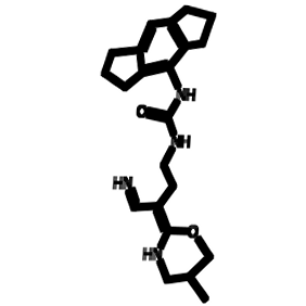 CC1CN/C(=C(\C=N)CCNC(=O)Nc2c3c(cc4c2CCC4)CCC3)OC1